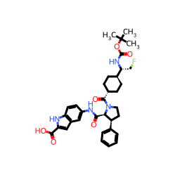 CC(C)(C)OC(=O)N[C@H](CF)[C@H]1CC[C@H](C(=O)N2CC[C@@H](c3ccccc3)[C@H]2C(=O)Nc2ccc3[nH]c(C(=O)O)cc3c2)CC1